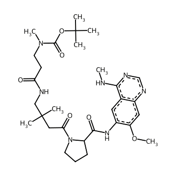 CNc1ncnc2cc(OC)c(NC(=O)C3CCCN3C(=O)CC(C)(C)CNC(=O)CCN(C)C(=O)OC(C)(C)C)cc12